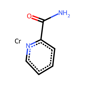 NC(=O)c1ccccn1.[Cr]